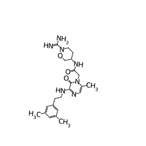 Cc1cc(C)cc(CCNc2ncc(C)n(CC(=O)NC3CCN(C(=N)N)OC3)c2=O)c1